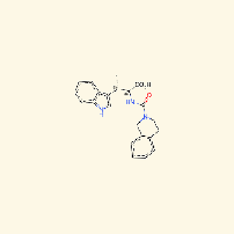 C[C@@H](c1c[nH]c2ccccc12)[C@@H](NC(=O)N1CCc2ccccc2C1)C(=O)O